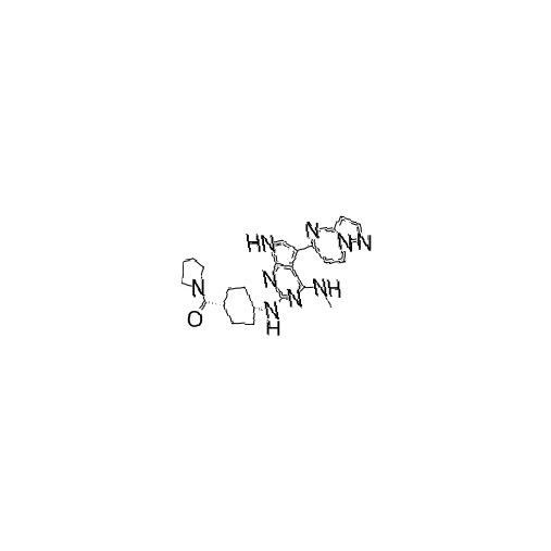 CNc1nc(N[C@H]2CC[C@@H](C(=O)N3CCCC3)CC2)nc2[nH]cc(-c3ccn4nccc4n3)c12